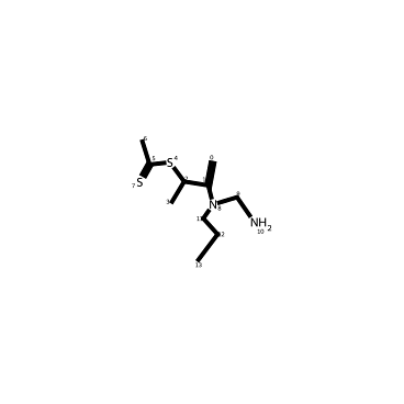 C=C(C(C)SC(C)=S)N(CN)CCC